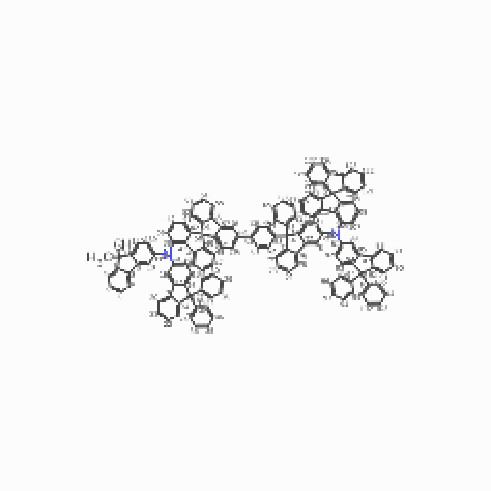 CC1(C)c2ccccc2-c2cc(N(c3ccc4c(c3)-c3ccccc3C4(c3ccccc3)c3ccccc3)c3cccc4c3-c3ccccc3C43c4ccccc4-c4cc(-c5ccc(C6(c7ccccc7)c7ccccc7-c7cc(N(c8ccc9c(c8)-c8ccccc8C9(c8ccccc8)c8ccccc8)c8cccc9c8-c8ccccc8C98c9ccccc9-c9ccccc98)ccc76)cc5)ccc43)ccc21